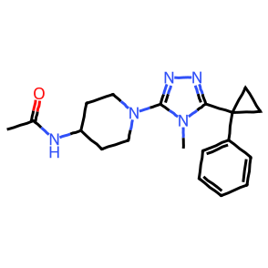 CC(=O)NC1CCN(c2nnc(C3(c4ccccc4)CC3)n2C)CC1